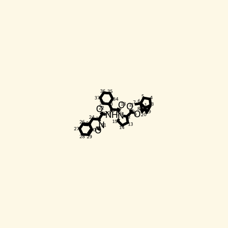 CC1(C)C2CCC1(C)C(OC(=O)C1CCCN1C(=O)C(NC(=O)C(CC1=CCCC=C1)N=O)C1CCCCC1)C2